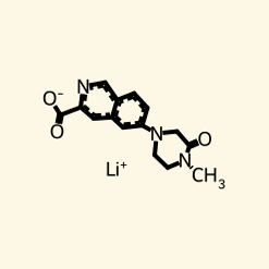 CN1CCN(c2ccc3cnc(C(=O)[O-])cc3c2)CC1=O.[Li+]